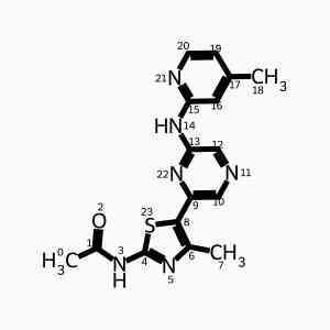 CC(=O)Nc1nc(C)c(-c2cncc(Nc3cc(C)ccn3)n2)s1